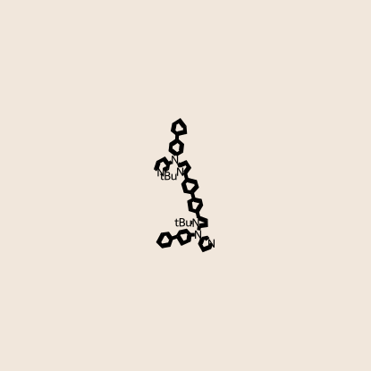 CC(C)(C)n1c(-c2ccc(-c3ccc(-c4ccc(N(c5ccc(-c6ccccc6)cc5)c5cccnc5)n4C(C)(C)C)cc3)cc2)ccc1N(c1ccc(-c2ccccc2)cc1)c1cccnc1